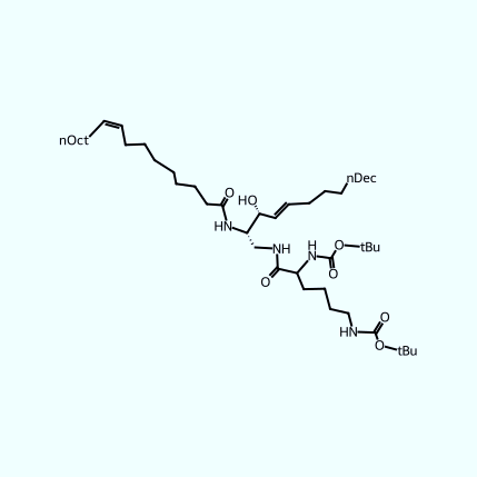 CCCCCCCC/C=C\CCCCCCCC(=O)N[C@@H](CNC(=O)C(CCCCNC(=O)OC(C)(C)C)NC(=O)OC(C)(C)C)[C@H](O)/C=C/CCCCCCCCCCCCC